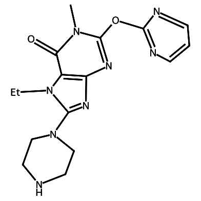 CCn1c(N2CCNCC2)nc2nc(Oc3ncccn3)n(C)c(=O)c21